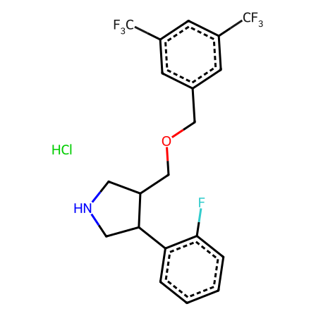 Cl.Fc1ccccc1C1CNCC1COCc1cc(C(F)(F)F)cc(C(F)(F)F)c1